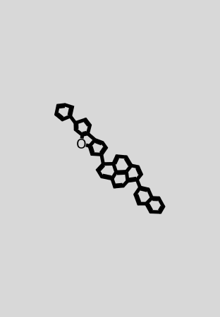 c1ccc(-c2ccc3c(c2)oc2cc(-c4ccc5ccc6c(-c7ccc8ccccc8c7)ccc7ccc4c5c76)ccc23)cc1